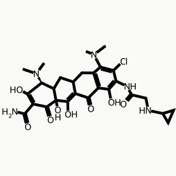 CN(C)c1c(Cl)c(NC(=O)CNC2CC2)c(O)c2c1CC1CC3[C@H](N(C)C)C(O)=C(C(N)=O)C(=O)C3(O)C(O)=C1C2=O